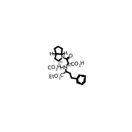 CCOC(=O)[C@H](CCc1ccccc1)N[C@@H](C(=O)O)C(=O)N1[C@H](C(=O)O)C[C@@H]2CCC[C@@H]21